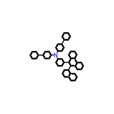 c1ccc(-c2ccc(N(c3ccc(-c4ccccc4)cc3)c3cccc(-c4c(-c5cccc6ccccc56)c5ccccc5c5ccccc45)c3)cc2)cc1